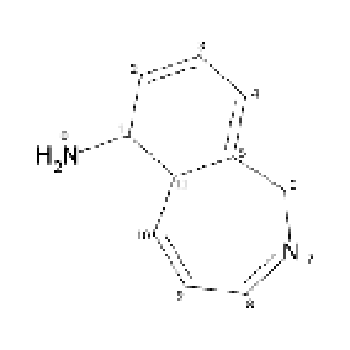 NC1C=CC=C2CN=CC=CC21